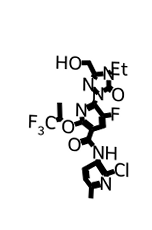 CCn1c(CO)nn(-c2nc(OC(C)C(F)(F)F)c(C(=O)Nc3ccc(C)nc3Cl)cc2F)c1=O